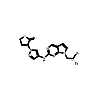 CC[C@H](Cn1ccc2cnc(Nc3cnn(C4CCOC4=O)c3)nc21)C(C)C